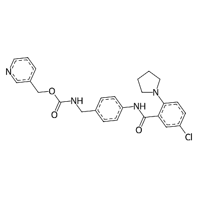 O=C(NCc1ccc(NC(=O)c2cc(Cl)ccc2N2CCCC2)cc1)OCc1cccnc1